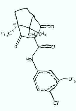 CC1(C)C2CC[C@]1(C)C(=O)C(C(=O)Nc1ccc(Cl)c(C(F)(F)F)c1)C2=O